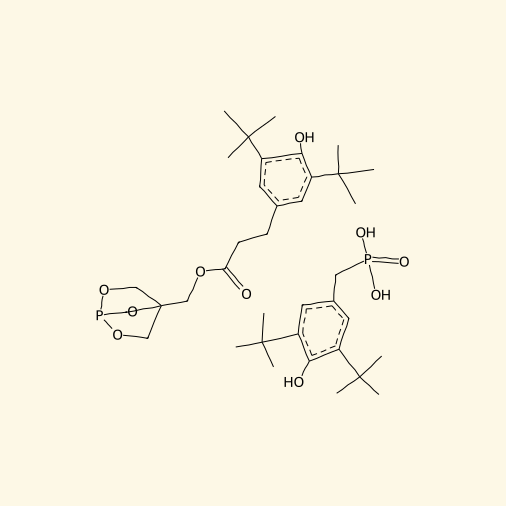 CC(C)(C)c1cc(CCC(=O)OCC23COP(OC2)OC3)cc(C(C)(C)C)c1O.CC(C)(C)c1cc(CP(=O)(O)O)cc(C(C)(C)C)c1O